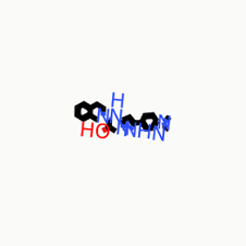 CC(O)C(Nc1cc(-c2ccc3c(c2)ncn3C)[nH]n1)N1CCc2ccccc2C1